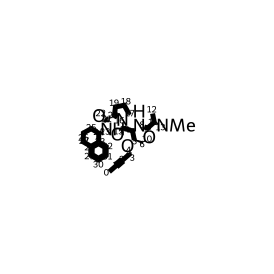 CC#CCO[C@H](C)[C@H](NC(=O)[C@H](C)NC)C(=O)N1CCC[C@H]1C(=O)N[C@@H]1CCCc2ccccc21